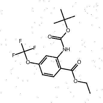 CCOC(=O)c1ccc(OC(F)(F)F)cc1NC(=O)OC(C)(C)C